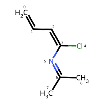 C=C/C=C(/Cl)N=C(C)C